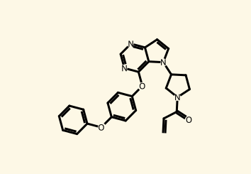 C=CC(=O)N1CCC(n2ccc3ncnc(Oc4ccc(Oc5ccccc5)cc4)c32)C1